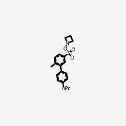 CCCc1ccc(-c2cc(S(=O)(=O)ON3CCC3)ccc2C)cc1